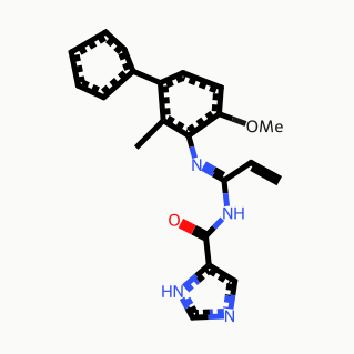 C=C/C(=N\c1c(OC)ccc(-c2ccccc2)c1C)NC(=O)c1cnc[nH]1